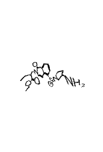 CCOC(=O)C(CC)Cn1ccc2c([S+]([O-])N3CCC(N)C3)cccc2c1=O